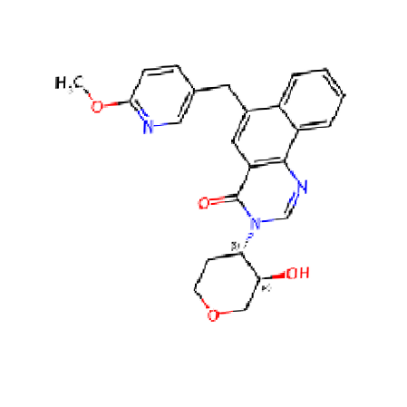 COc1ccc(Cc2cc3c(=O)n([C@H]4CCOC[C@@H]4O)cnc3c3ccccc23)cn1